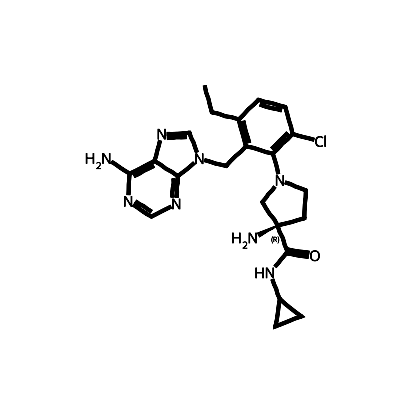 CCc1ccc(Cl)c(N2CC[C@](N)(C(=O)NC3CC3)C2)c1Cn1cnc2c(N)ncnc21